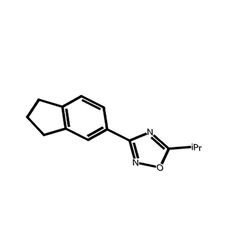 CC(C)c1nc(-c2ccc3c(c2)CCC3)no1